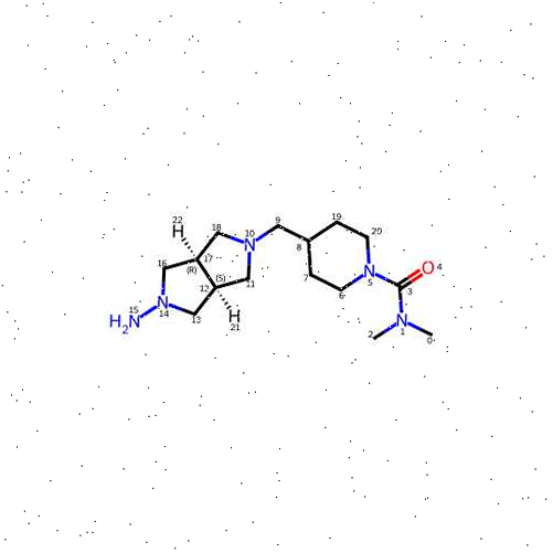 CN(C)C(=O)N1CCC(CN2C[C@H]3CN(N)C[C@H]3C2)CC1